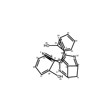 N#CC1=C(C#N)N=C2CC(=N1)C2=C(c1ccccc1O)c1ccccc1O